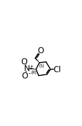 O=C[C@H]1CC(Cl)=CC[C@H]1[N+](=O)[O-]